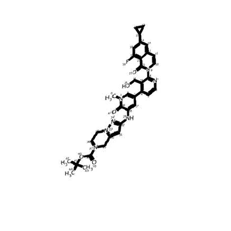 Cn1cc(-c2ccnc(-n3ccc4cc(C5CC5)cc(F)c4c3=O)c2CO)cc(Nc2cc3n(n2)CCN(C(=O)OC(C)(C)C)C3)c1=O